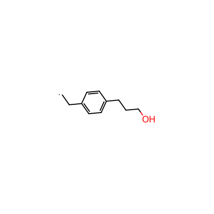 [CH2]Cc1ccc(CCCO)cc1